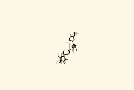 Cc1oc2c(c1CC(=O)Nc1nc(-c3cc(F)c(O)cc3F)cs1)c(=O)n(C)c(=O)n2C